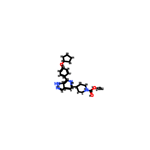 CC(C)(C)OC(=O)N1CCC(c2cc3cn[nH]c3c(-c3ccc(OC4CCCC4)cc3)n2)CC1